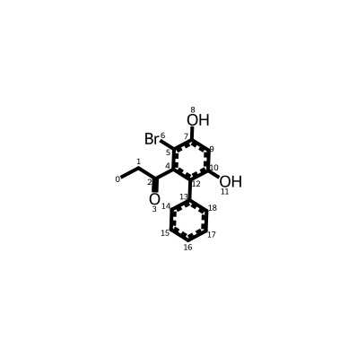 CCC(=O)c1c(Br)c(O)cc(O)c1-c1ccccc1